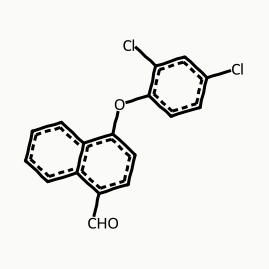 O=Cc1ccc(Oc2ccc(Cl)cc2Cl)c2ccccc12